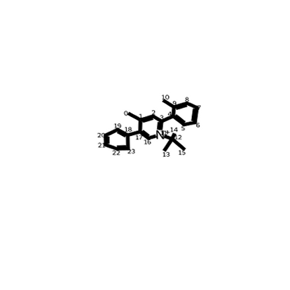 Cc1cc(-c2ccccc2C)[n+](C(C)(C)C)cc1-c1ccccc1